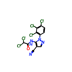 N#Cc1cnn(-c2ccc(Cl)c(Cl)c2Cl)c1NC(=O)C(Cl)Cl